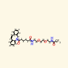 O=C(CCCCC(=O)N1Cc2ccccc2C#Cc2ccccc21)NCCOCCOCCNC(=O)C(F)(F)F